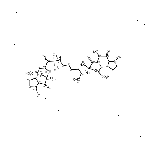 CC(=O)N1CCCC1C(=O)N(C)C(CCC(=O)O)C(=O)C(C)(C)NC(C=O)CCCCNC(C)(C)C(=O)C(CCC(=O)O)NC(C)(C)C(=O)C1CCCN1C(C)=O